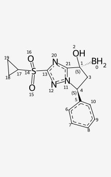 B[C@]1(O)C[C@@H](c2ccccc2)n2nc(S(=O)(=O)C3CC3)nc21